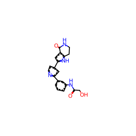 O=C(CO)Nc1cccc(-c2cc(-c3cc4c([nH]3)CCNC4=O)ccn2)c1